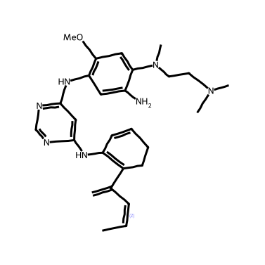 C=C(/C=C\C)C1=C(Nc2cc(Nc3cc(N)c(N(C)CCN(C)C)cc3OC)ncn2)C=CCC1